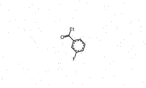 CCC(=O)c1[c]ccc(F)c1